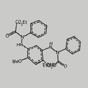 CCOC(=O)C(=O)N(Nc1cc(NN(C(=O)C(=O)OCC)c2ccccc2)c(OC)cc1OC)c1ccccc1